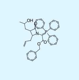 C=CCC1C(CC(C)O)C(=O)N1C(C(=O)OCc1ccccc1)=P(c1ccccc1)(c1ccccc1)c1ccccc1